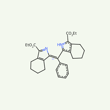 CCOC(=O)C1=N/C(=C(/c2ccccc2)c2[nH]c(C(=O)OCC)c3c2CCCC3)C2=C1CCCC2